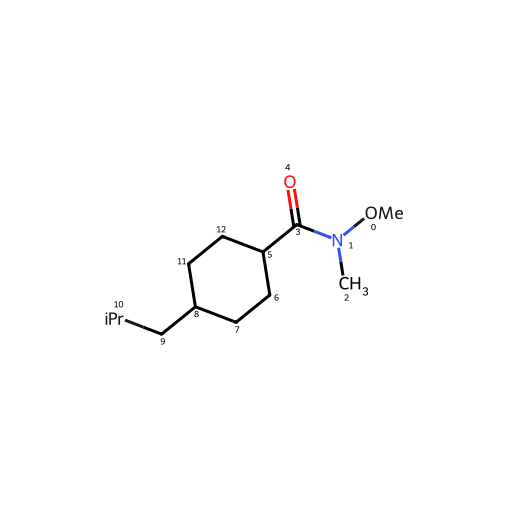 CON(C)C(=O)C1CCC(CC(C)C)CC1